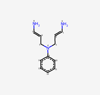 NC=CCN(CC=CN)c1ccccc1